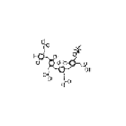 COC(=O)CCc1cc(I)c(OC)cc1Cc1cc(CCC(=O)OC)c(Cc2cc(CCC(=O)OC)c(Cc3cc(CCC(=O)O)c(CO[Si](C)(C)C(C)(C)C)cc3OC)cc2OC)cc1OC